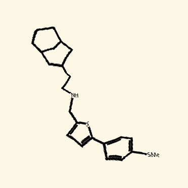 CSc1ccc(-c2ccc(CNCCC3CC4CCCC(C4)C3)s2)cc1